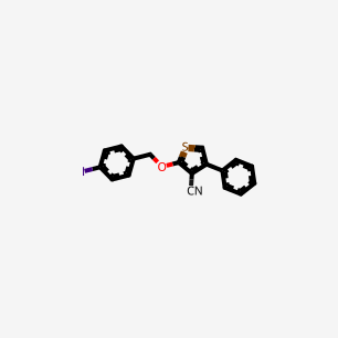 N#Cc1c(-c2ccccc2)csc1OCc1ccc(I)cc1